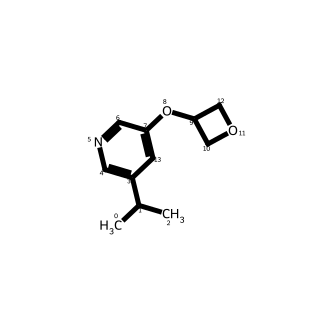 CC(C)c1cncc(OC2COC2)c1